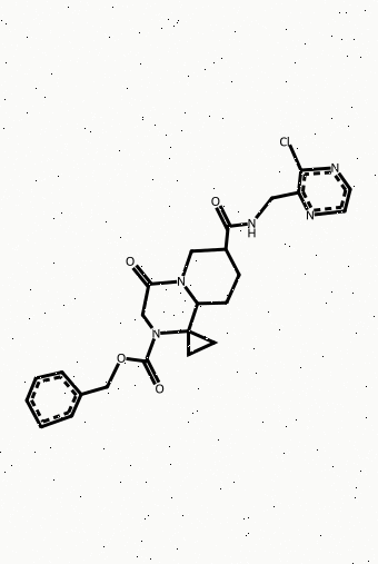 O=C(NCc1nccnc1Cl)C1CCC2N(C1)C(=O)CN(C(=O)OCc1ccccc1)C21CC1